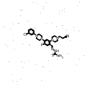 N#CCCN1CCN(c2cc(N3CCN(c4cccc(Cl)c4)CC3)c(F)cc2/C=N/NC(N)=S)CC1